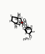 CCCOc1ccc(O[C@H]2C[C@H]3CC[C@@H](C2)N3C(=O)OC(C)(C)C)cc1